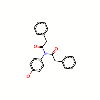 O=C(Cc1ccccc1)N(C(=O)Cc1ccccc1)c1ccc(O)cc1